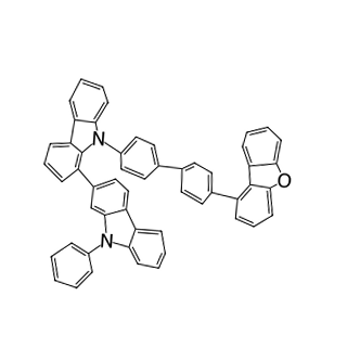 c1ccc(-n2c3ccccc3c3ccc(-c4cccc5c6ccccc6n(-c6ccc(-c7ccc(-c8cccc9oc%10ccccc%10c89)cc7)cc6)c45)cc32)cc1